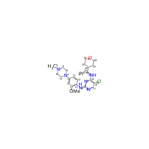 COc1cc(N2CCN(C)CC2)ccc1Nc1ncc(Cl)c(N[C@H](C(C)C)C2CCOCC2)n1